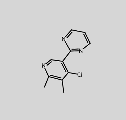 Cc1ncc(-c2ncccn2)c(Cl)c1C